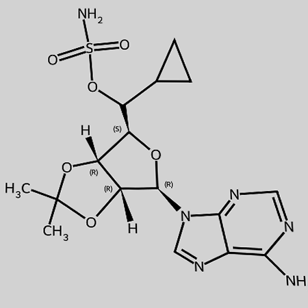 CC1(C)O[C@@H]2[C@H](O1)[C@@H](C(OS(N)(=O)=O)C1CC1)O[C@H]2n1cnc2c(N)ncnc21